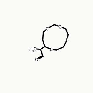 CC(C=O)C1CCCCCCCCCCC1